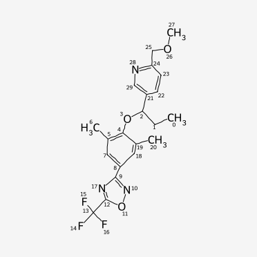 CCC(Oc1c(C)cc(-c2noc(C(F)(F)F)n2)cc1C)c1ccc(COC)nc1